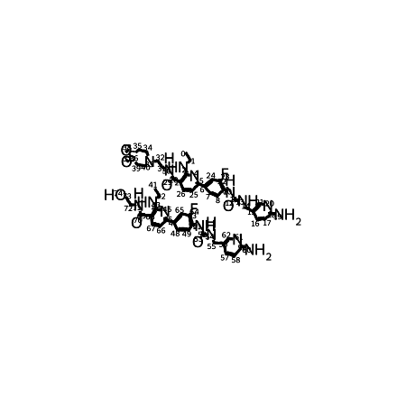 CCNc1nc(-c2ccc(NC(=O)NCc3ccc(N)nc3)c(F)c2)ccc1C(=O)NCCN1CCS(=O)(=O)CC1.CCNc1nc(-c2ccc(NC(=O)NCc3ccc(N)nc3)c(F)c2)ccc1C(=O)NCCO